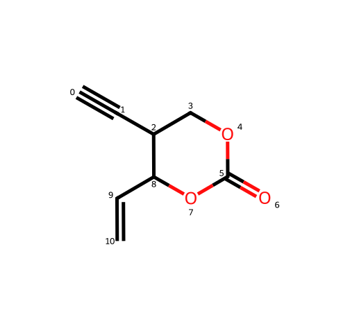 C#CC1COC(=O)OC1C=C